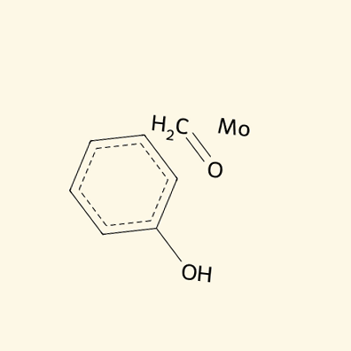 C=O.Oc1ccccc1.[Mo]